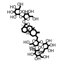 C=C1CC2(C)CCC3[C@](C)(C(=O)OC4OC(CO)C(O)C(O)C4OC4OC(CO)C(O)C(O)C4O)CCC[C@@]3(C)[C@@H]2CCC1CC1OC(CO)C(O)C(OC2OC(CO)C(O)C(O)C2O)C1OC1OC(CO)C(O)C(O)C1O